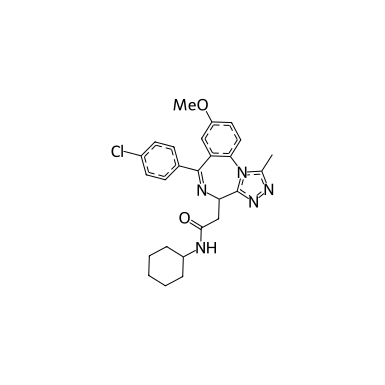 COc1ccc2c(c1)C(c1ccc(Cl)cc1)=NC(CC(=O)NC1CCCCC1)c1nnc(C)n1-2